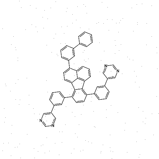 c1ccc(-c2cccc(-c3ccc4c5c(cccc35)-c3c(-c5cccc(-c6cncnc6)c5)ccc(-c5cccc(-c6cncnc6)c5)c3-4)c2)cc1